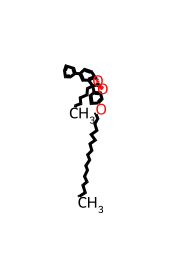 CCCCCCCCCCCCCCCCCCOc1ccc(C2(CCCCCC)C(=O)Oc3ccc(-c4ccccc4)cc32)cc1